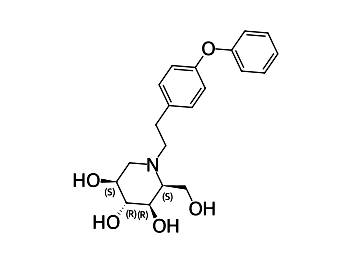 OC[C@H]1[C@@H](O)[C@H](O)[C@@H](O)CN1CCc1ccc(Oc2ccccc2)cc1